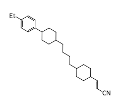 CCc1ccc(C2CCC(CCCCC3CCC(C=CC#N)CC3)CC2)cc1